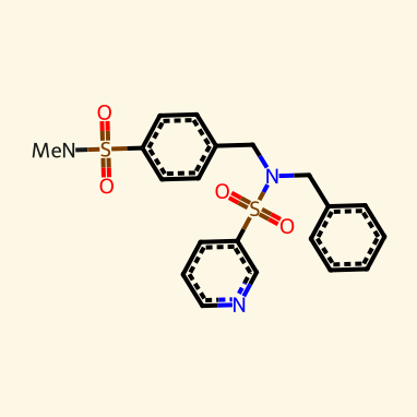 CNS(=O)(=O)c1ccc(CN(Cc2ccccc2)S(=O)(=O)c2cccnc2)cc1